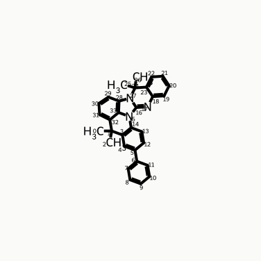 CC1(C)c2cc(-c3ccccc3)ccc2N2C3=Nc4ccccc4C(C)(C)N3c3cccc1c32